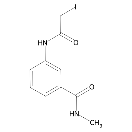 CNC(=O)c1cccc(NC(=O)CI)c1